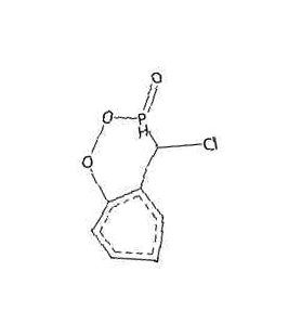 O=[PH]1OOc2ccccc2C1Cl